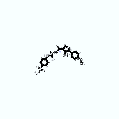 C/C(=N\NC(=S)Nc1ccc(S(N)(=O)=O)cc1)c1csc(-c2ccc(OC(F)(F)F)cc2)c1O